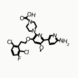 COc1cc(OCCc2c(Cl)ccc(F)c2Cl)c(N2CCN(C(=O)O)CC2)nc1-c1ccc(N)nc1